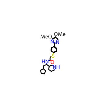 COc1cnc(-c2ccc(SCC(=O)NC(CC3CCCC3)C3CCCNC3)cc2)nc1OC